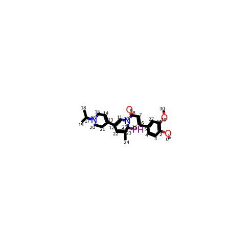 COc1ccc(C2=CC(=O)N3C=C(C4=CCN(C(C)C)CC4)C=C(C)C3P2)cc1OC